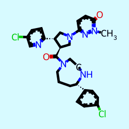 Cn1nc(N2C[C@@H](C(=O)N3CCC[C@@H](c4ccc(Cl)cc4)NCC3)[C@H](c3ccc(Cl)cn3)C2)ccc1=O